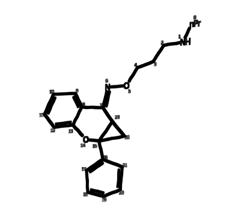 CCCNCCCON=C1c2ccccc2OC2(c3ccccc3)CC12